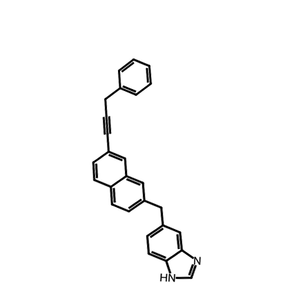 C(#Cc1ccc2ccc(Cc3ccc4[nH]cnc4c3)cc2c1)Cc1ccccc1